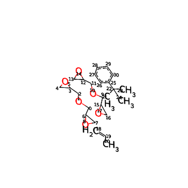 C(OCC1CO1)C1CO1.C(OCC1CO1)C1CO1.C=CC.CC(C)(C)c1ccccc1